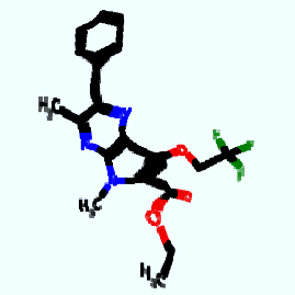 CCOC(=O)c1c(OCC(F)(F)F)c2nc(-c3ccccc3)c(C)nc2n1C